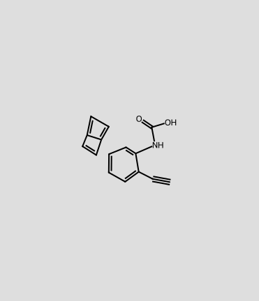 C#Cc1ccccc1NC(=O)O.c1cc2ccc1-2